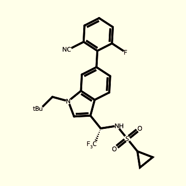 CC(C)(C)Cn1cc([C@H](NS(=O)(=O)C2CC2)C(F)(F)F)c2ccc(-c3c(F)cccc3C#N)cc21